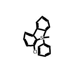 C[Si]1(c2ccccc2)c2ccccc2-c2cccc(Cl)c21